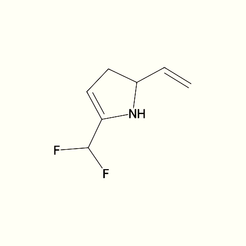 C=CC1CC=C(C(F)F)N1